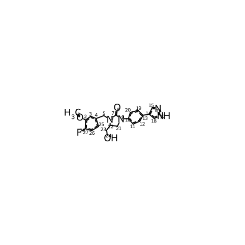 COc1cc(CN2C(=O)N(c3ccc(-c4cn[nH]c4)cc3)CC2CO)ccc1F